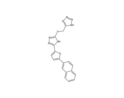 c1ccc2cc(-c3ccc(-c4nnc(SCc5nnn[nH]5)[nH]4)o3)ccc2c1